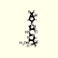 CNc1nc(Nc2cn(C3CC4[C@@H](C3)C4(F)F)nc2Cl)ncc1C(F)(F)F